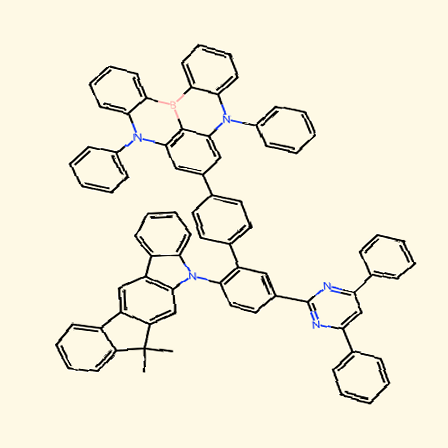 CC1(C)c2ccccc2-c2cc3c4ccccc4n(-c4ccc(-c5nc(-c6ccccc6)cc(-c6ccccc6)n5)cc4-c4ccc(-c5cc6c7c(c5)N(c5ccccc5)c5ccccc5B7c5ccccc5N6c5ccccc5)cc4)c3cc21